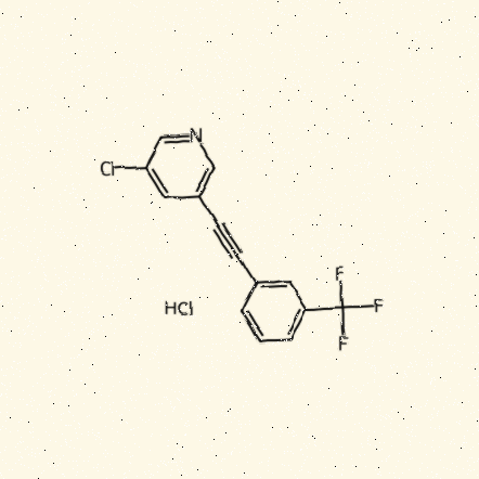 Cl.FC(F)(F)c1cccc(C#Cc2cncc(Cl)c2)c1